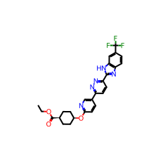 CCOC(=O)[C@H]1CC[C@@H](Oc2ccc(-c3ccc(-c4nc5ccc(C(F)(F)F)cc5[nH]4)nn3)cn2)CC1